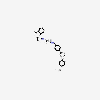 O=C(/N=C1\SCC(=O)N1c1ccccc1C(F)F)N/N=C/c1ccc(-c2ncn(-c3ccc(OC(F)(F)F)cc3)n2)cc1